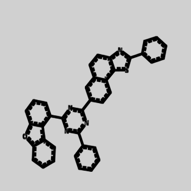 c1ccc(-c2nc(-c3ccc4c(ccc5nc(-c6ccccc6)sc54)c3)nc(-c3cccc4oc5ccccc5c34)n2)cc1